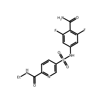 CCNC(=O)c1ccc(S(=O)(=O)Nc2cc(F)c(C(N)=O)c(F)c2)cn1